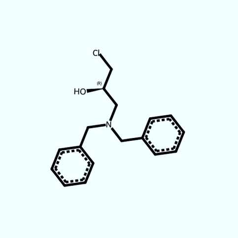 O[C@@H](CCl)CN(Cc1ccccc1)Cc1ccccc1